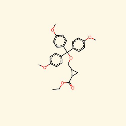 CCOC(=O)C1CC1COC(c1ccc(OC)cc1)(c1ccc(OC)cc1)c1ccc(OC)cc1